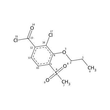 CCCOc1c(S(C)(=O)=O)ccc(C(=O)Cl)c1Cl